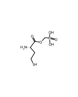 N[C@@H](CCS)C(=O)OCP(=O)(O)O